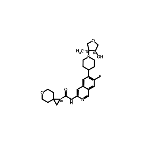 C[C@]1(N2CCC(c3cc4cc(NC(=O)[C@H]5CC56CCOCC6)ncc4cc3F)CC2)COC[C@H]1O